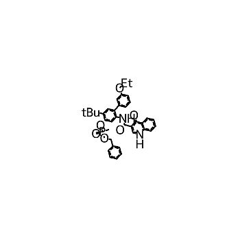 CCOc1cccc(-c2cc(C(C)(C)C)c(OP(C)(=O)OCc3ccccc3)cc2NC(=O)c2c[nH]c3ccccc3c2=O)c1